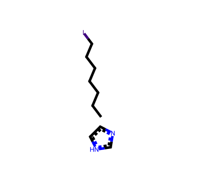 CCCCCCCI.c1c[nH]cn1